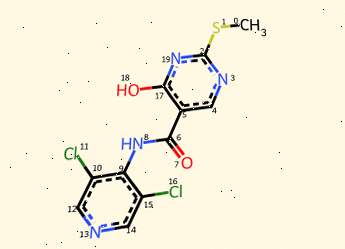 CSc1ncc(C(=O)Nc2c(Cl)cncc2Cl)c(O)n1